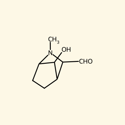 CN1C(C=O)C2CCC1C2O